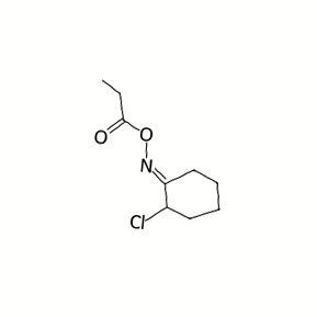 CCC(=O)ON=C1CCCCC1Cl